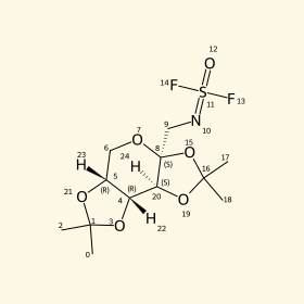 CC1(C)O[C@@H]2[C@@H](CO[C@@]3(CN=S(=O)(F)F)OC(C)(C)O[C@@H]23)O1